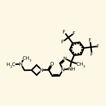 CN(C)CC1CN(C(=O)/C=C\N2C=NC(C)(c3cc(C(F)(F)F)cc(C(F)(F)F)c3)N2)C1